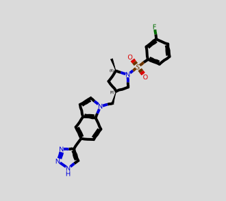 C[C@@H]1C[C@H](Cn2ccc3cc(-c4c[nH]nn4)ccc32)CN1S(=O)(=O)c1cccc(F)c1